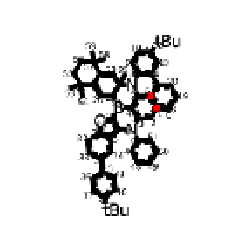 Cc1cc2c3c(c1)N(c1ccc(C(C)(C)C)cc1-c1ccccc1)C1(C)C=C4C(=CC1B3c1oc3ccc(-c5ccc(C(C)(C)C)cc5)cc3c1N2c1ccccc1)C(C)(C)CCC4(C)C